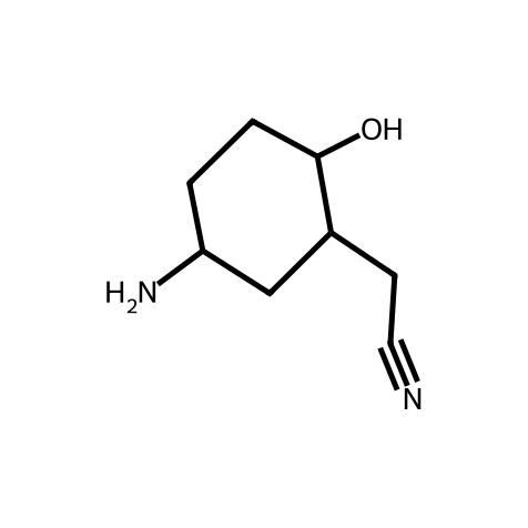 N#CCC1CC(N)CCC1O